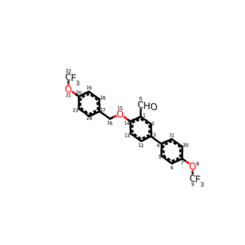 O=Cc1cc(-c2ccc(OC(F)(F)F)cc2)ccc1OCc1ccc(OC(F)(F)F)cc1